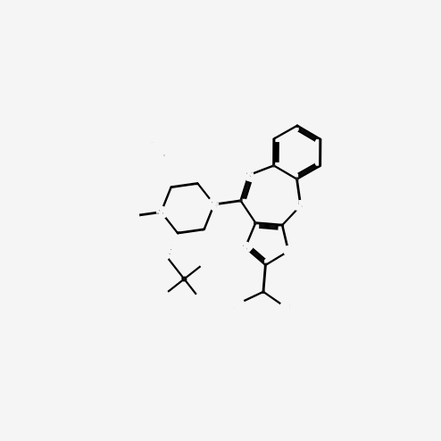 CC(C)c1nc2c(s1)Nc1ccccc1N=C2N1CCN(C)[C@@H](CC(C)(C)O)C1.Cl.Cl